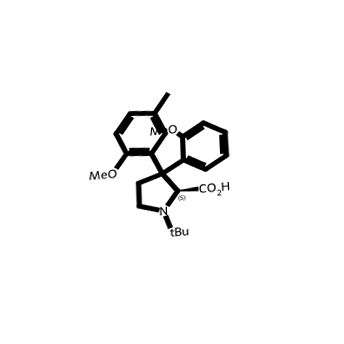 COc1ccccc1C1(c2cc(C)ccc2OC)CCN(C(C)(C)C)[C@@H]1C(=O)O